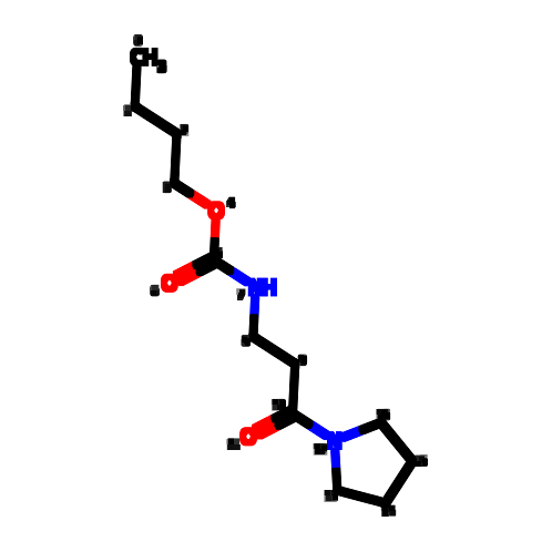 CCCCOC(=O)NCCC(=O)N1CCCC1